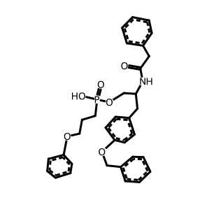 O=C(Cc1ccccc1)NC(COP(=O)(O)CCCOc1ccccc1)Cc1ccc(OCc2ccccc2)cc1